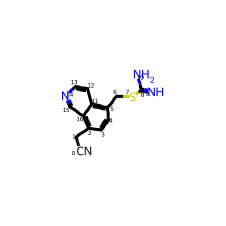 N#CCc1ccc(CSC(=N)N)c2ccncc12